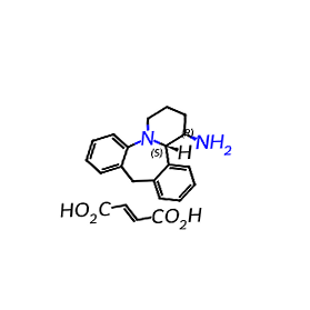 N[C@@H]1CCCN2c3ccccc3Cc3ccccc3[C@@H]12.O=C(O)C=CC(=O)O